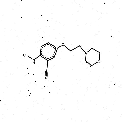 CNc1ccc(OCCN2CCOCC2)cc1C#N